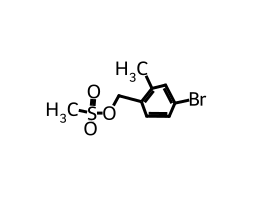 Cc1cc(Br)ccc1COS(C)(=O)=O